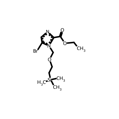 CCOC(=O)c1ncc(Br)n1COCC[Si](C)(C)C